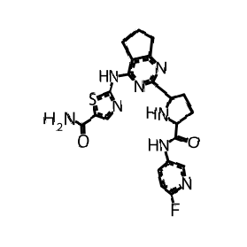 NC(=O)c1cnc(Nc2nc(C3CCC(C(=O)Nc4ccc(F)nc4)N3)nc3c2CCC3)s1